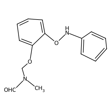 CN(C=O)COc1ccccc1ONc1ccccc1